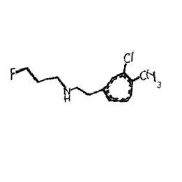 Cc1ccc(CCNCCCF)cc1Cl